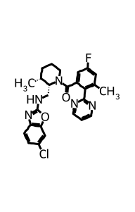 Cc1cc(F)cc(C(=O)N2CCC[C@@H](C)[C@H]2CNc2nc3ccc(Cl)cc3o2)c1-c1ncccn1